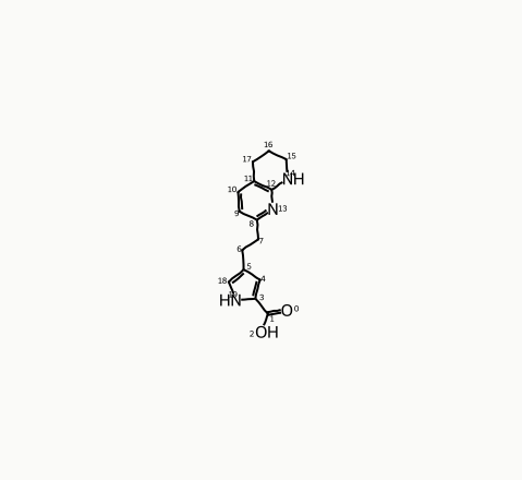 O=C(O)c1cc(CCc2ccc3c(n2)NCCC3)c[nH]1